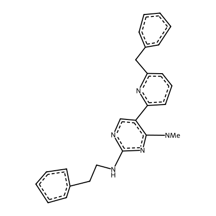 CNc1nc(NCCc2ccccc2)ncc1-c1cccc(Cc2ccccc2)n1